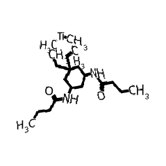 CCCC(=O)NC1CC(NC(=O)CCC)CC(CC)(CC)C1.[CH3][Ti][CH3]